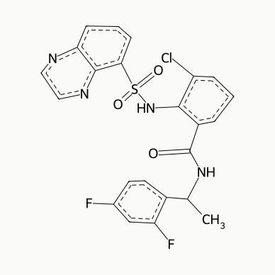 CC(NC(=O)c1cccc(Cl)c1NS(=O)(=O)c1cccc2nccnc12)c1ccc(F)cc1F